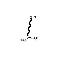 CCCCCCCCCCCCCCN(C(=O)O)C(=O)O